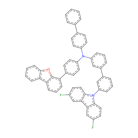 Fc1ccc2c(c1)c1cc(F)ccc1n2-c1cccc(-c2cccc(N(c3ccc(-c4ccccc4)cc3)c3ccc(-c4cccc5c4oc4ccccc45)cc3)c2)c1